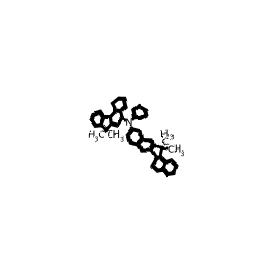 CC1(C)c2ccccc2-c2c1cc(N(c1ccccc1)c1ccc3cc4c(cc3c1)C(C)(C)c1c-4ccc3ccccc13)c1ccccc21